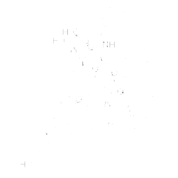 CCCCCCCCCCCCCC[C@H]1OC(C)(C)O[C@H]1[C@H](CO[C@H]1CC(COCc2ccccc2)C(OCc2ccccc2)[C@@H](OCc2ccccc2)C1OCc1ccccc1)NCc1ccccc1